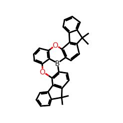 CC1(C)c2ccccc2-c2c1ccc1c2Oc2cccc3c2B1c1ccc2c(c1O3)-c1ccccc1C2(C)C